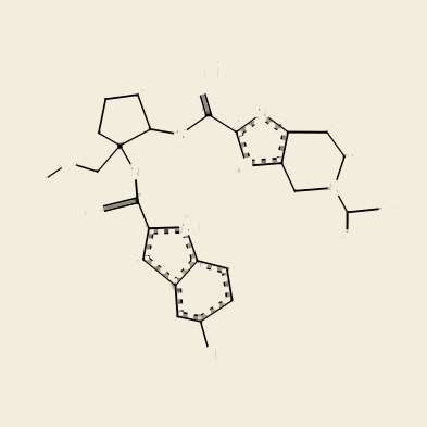 COCC1(NC(=O)c2cc3cc(Cl)ccc3[nH]2)CCCC1NC(=O)c1nc2c(s1)CN(C(C)C)CC2.Cl